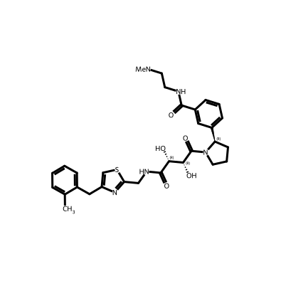 CNCCNC(=O)c1cccc([C@H]2CCCN2C(=O)[C@H](O)[C@@H](O)C(=O)NCc2nc(Cc3ccccc3C)cs2)c1